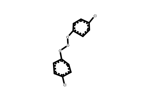 Clc1ccc(OOOc2ccc(Cl)cc2)cc1